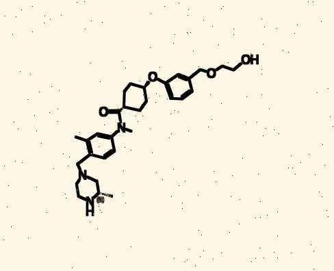 Cc1cc(N(C)C(=O)[C@H]2CC[C@H](Oc3cccc(COCCO)c3)CC2)ccc1CN1CCN[C@@H](C)C1